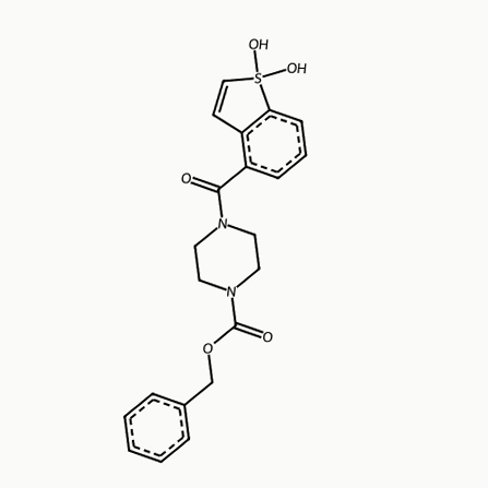 O=C(OCc1ccccc1)N1CCN(C(=O)c2cccc3c2C=CS3(O)O)CC1